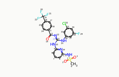 CS(=O)(=O)Nc1cccc(N/C(=N\C(=O)c2ccc(C(F)(F)F)cc2)Nc2cc(F)cc(Cl)c2)n1